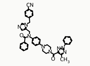 Cc1nn(-c2ccccc2)nc1C(=O)N1CCN(c2ccc(N(Cc3cncn3Cc3ccc(C#N)cc3)C(=O)c3ccccc3)cc2)CC1